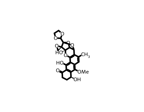 COc1c2c(c(O)c3c4c(c(C)cc13)C1OC3(C5OCCO5)OC1[C@@](O)(O4)[C@@]31CO1)C(=O)CC[C@@H]2O